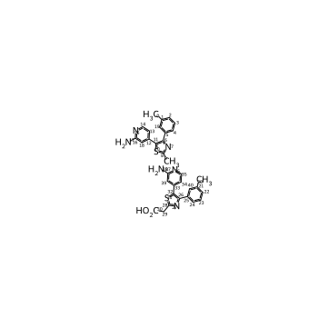 Cc1cccc(-c2nc(C)sc2-c2ccnc(N)c2)c1.Cc1cccc(-c2nc(CC(=O)O)sc2-c2ccnc(N)c2)c1